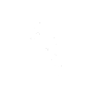 CCC(CC)N1CCN(c2ccc(C3CCCCN3C=O)cn2)CC1